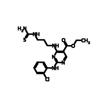 CCOC(=O)c1cnc(Nc2ccccc2Cl)nc1NCCCNC(N)=S